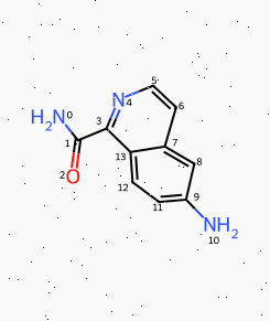 NC(=O)c1nccc2cc(N)ccc12